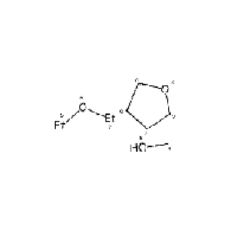 C1CCOC1.CCOCC.CO